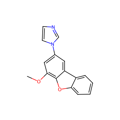 COc1cc(-n2ccnc2)cc2c1oc1ccccc12